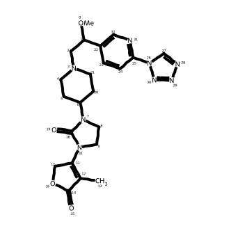 COC(CN1CCC(N2CCN(C3=C(C)C(=O)OC3)C2=O)CC1)c1ccc(-n2cnnn2)nc1